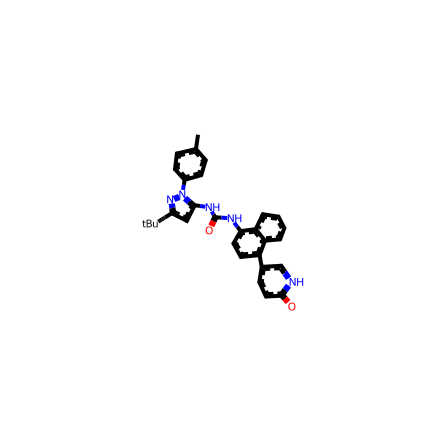 Cc1ccc(-n2nc(C(C)(C)C)cc2NC(=O)Nc2ccc(-c3ccc(=O)[nH]c3)c3ccccc23)cc1